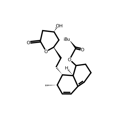 CC[C@H](C)C(=O)OC1CCC=C2C=C[C@H](C)[C@H](CC[C@@H]3C[C@@H](O)CC(=O)O3)[C@H]21